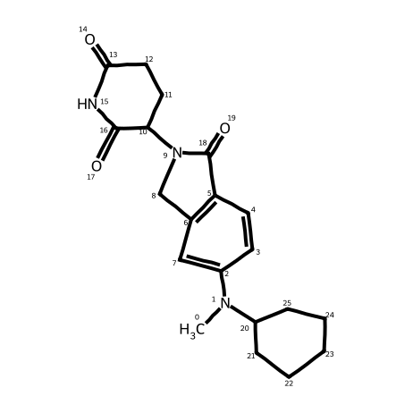 CN(c1ccc2c(c1)CN(C1CCC(=O)NC1=O)C2=O)C1CCCCC1